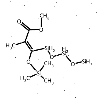 COC(=O)C(C)=C(O[Si](C)(C)C)[SiH2]O[SiH2]O[SiH3]